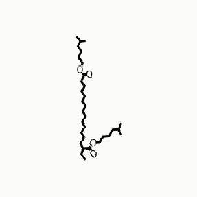 CCC(CCCCCCCCCCCCCC(=O)OCCCCC(C)C)C(=O)OCCCCC(C)C